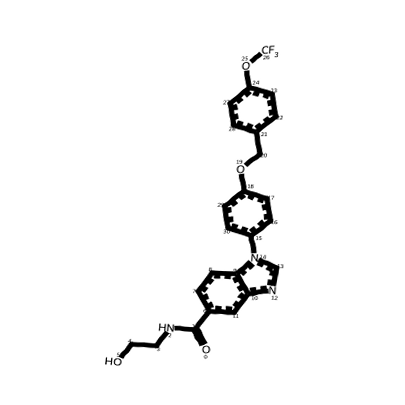 O=C(NCCO)c1ccc2c(c1)ncn2-c1ccc(OCc2ccc(OC(F)(F)F)cc2)cc1